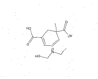 CC1(C(=O)O)C=CC=C(C(=O)O)C1.CCNCO